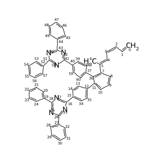 C=C/C=C\C=C(/C)c1cccc(-c2ccc(-c3nc(-c4ccccc4)nc(-c4ccccc4)n3)cc2)c1-c1ccc(-c2nc(-c3ccccc3)nc(-c3ccccc3)n2)cc1